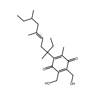 CCC(C)C/C(C)=C/CC(C)(CC)C1=C(C)C(=O)C(CO)=C(CO)C1=O